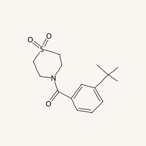 CC(C)(C)c1cccc(C(=O)N2CCS(=O)(=O)CC2)c1